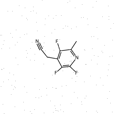 Cc1nc(F)c(F)c(CC#N)c1F